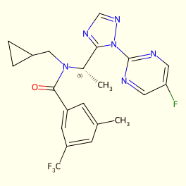 Cc1cc(C(=O)N(CC2CC2)[C@@H](C)c2ncnn2-c2ncc(F)cn2)cc(C(F)(F)F)c1